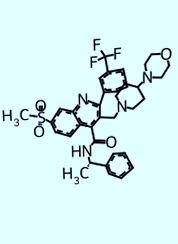 C[C@H](NC(=O)c1c(CN2CCC(N3CCOCC3)CC2)c(-c2cccc(C(F)(F)F)c2)nc2cc(S(C)(=O)=O)ccc12)c1ccccc1